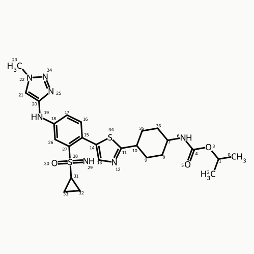 CC(C)OC(=O)NC1CCC(c2ncc(-c3ccc(Nc4cn(C)nn4)cc3S(=N)(=O)C3CC3)s2)CC1